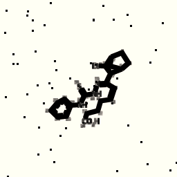 CCC1C2CCC(C2)C1C(/C=C\CCCC(=O)O)=NNC(=S)Nc1ccccc1